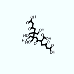 CCC(CO)(CC(=O)C(CC(=O)CC(=O)O)C(=O)O)C(CO)(CO)CC(=O)CC(=O)O